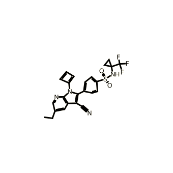 CCc1cnc2c(c1)c(C#N)c(-c1ccc(S(=O)(=O)NC3(C(F)(F)F)CC3)cc1)n2C1=CC=C1